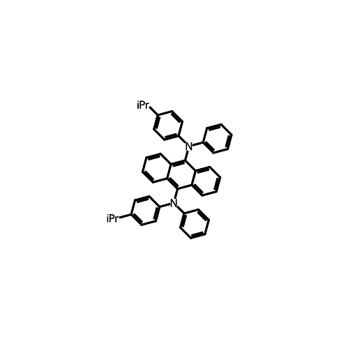 CC(C)c1ccc(N(c2ccccc2)c2c3ccccc3c(N(c3ccccc3)c3ccc(C(C)C)cc3)c3ccccc23)cc1